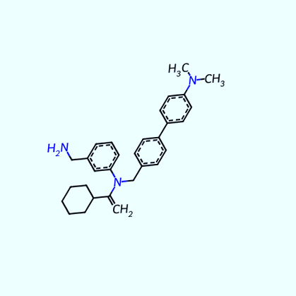 C=C(C1CCCCC1)N(Cc1ccc(-c2ccc(N(C)C)cc2)cc1)c1cccc(CN)c1